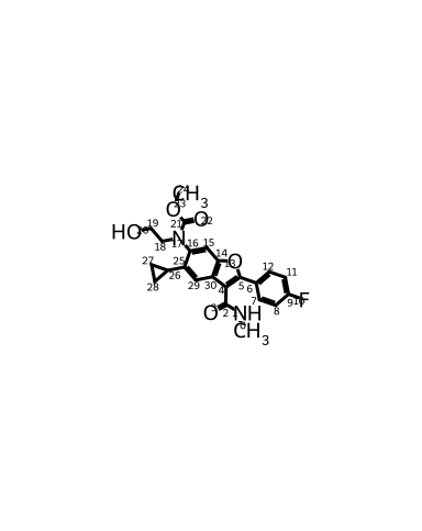 CNC(=O)c1c(-c2ccc(F)cc2)oc2cc(N(CCO)C(=O)OC)c(C3CC3)cc12